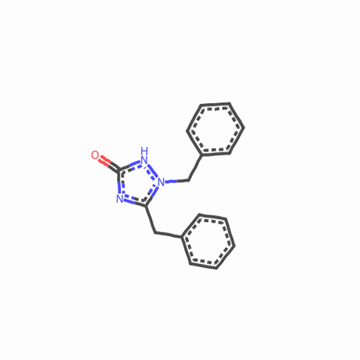 O=c1nc(Cc2ccccc2)n(Cc2ccccc2)[nH]1